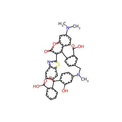 CN(C)c1ccc2c(-c3ccc(CN(C)c4ccc(C(=O)c5ccccc5C(=O)O)c(O)c4)cc3C(=O)O)c(-c3nc4ccccc4s3)c(=O)oc2c1